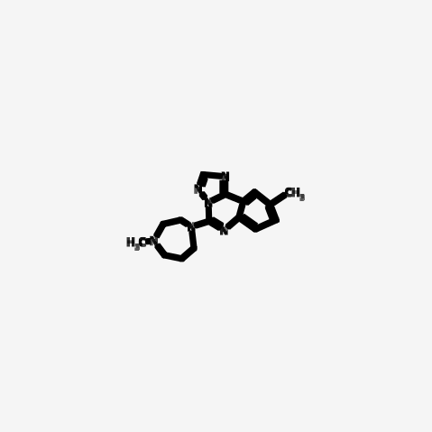 Cc1ccc2nc(N3CCCN(C)CC3)n3ncnc3c2c1